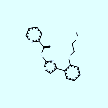 COCCOc1ccccc1-c1csc(NC(=O)c2ccccn2)n1